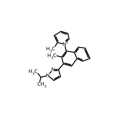 Cc1c(-c2ccn(C(C)C)n2)cc2ccccc2c1-[n+]1ccccc1C